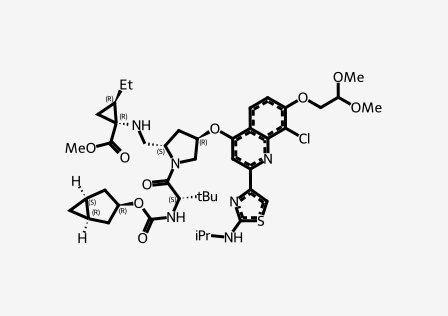 CC[C@@H]1C[C@]1(NC[C@@H]1C[C@@H](Oc2cc(-c3csc(NC(C)C)n3)nc3c(Cl)c(OCC(OC)OC)ccc23)CN1C(=O)[C@@H](NC(=O)O[C@@H]1C[C@@H]2C[C@@H]2C1)C(C)(C)C)C(=O)OC